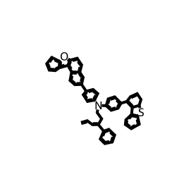 C=C/C=C(\CCN(c1ccc(C2=C3c4ccccc4SC3CC=C2)cc1)c1ccc(-c2ccc3c(ccc4oc5ccccc5c43)c2)cc1)c1ccccc1